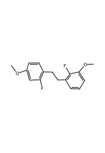 COc1ccc([CH]Cc2cccc(OC)c2F)c(F)c1